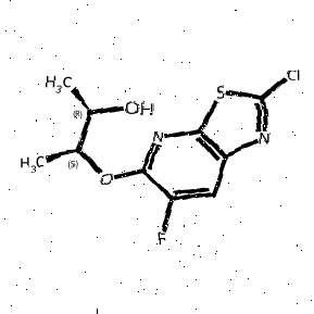 C[C@H](Oc1nc2sc(Cl)nc2cc1F)[C@@H](C)O